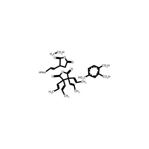 CC(=O)O.CC=CC1(C=CC)C(=O)OC(=O)C1(C=CC)C=CC.CCCCCCC=CC1CC(=O)OC1=O.O=C(O)c1ccc(C(=O)O)c(C(=O)O)c1